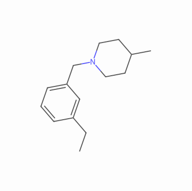 CCc1cccc(CN2CCC(C)CC2)c1